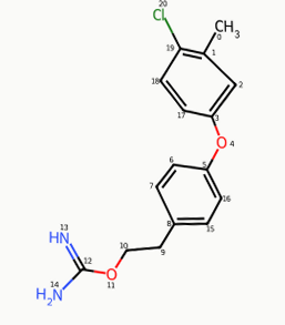 Cc1cc(Oc2ccc(CCOC(=N)N)cc2)ccc1Cl